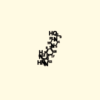 CC(O)N1CCN(c2ccc(-c3cn[nH]c3N)cc2)CC1